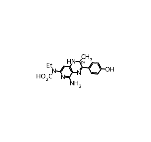 CCN(C(=O)O)c1cc2c(c(N)n1)N=C(c1ccc(O)cc1)[C@H](C)N2